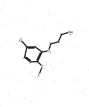 [CH2-][CH+]c1ccc(Cl)cc1OCCCO